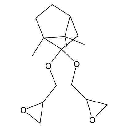 CC1(C)C2CCC1(C)C(OCC1CO1)(OCC1CO1)C2